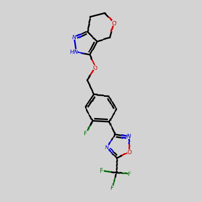 Fc1cc(COc2[nH]nc3c2COCC3)ccc1-c1noc(C(F)(F)F)n1